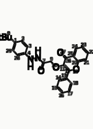 CC(C)(C)c1ccc(NNC(=O)COc2c(-c3ccccc3)oc3ccccc3c2=O)cc1